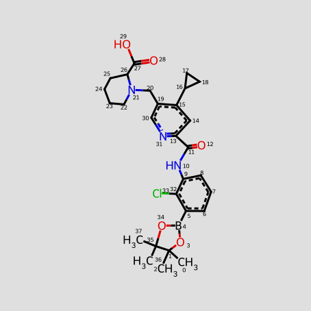 CC1(C)OB(c2cccc(NC(=O)c3cc(C4CC4)c(CN4CCCCC4C(=O)O)cn3)c2Cl)OC1(C)C